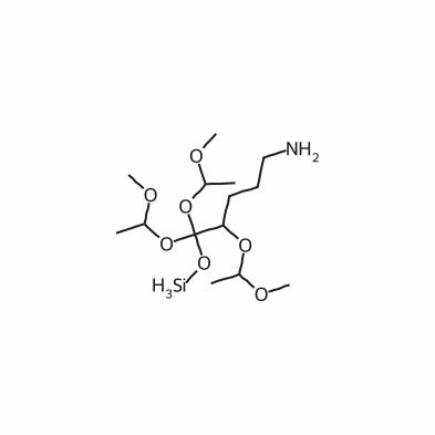 COC(C)OC(CCCN)C(O[SiH3])(OC(C)OC)OC(C)OC